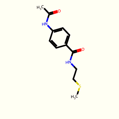 CSCCNC(=O)c1ccc(NC(C)=O)cc1